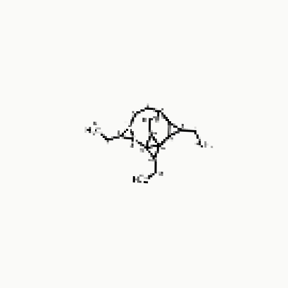 CCC1C2CCCP3C(CC)P3C34C(CC)C3(C12)C4CC